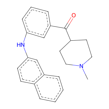 CN1CCC(C(=O)c2cccc(Nc3ccc4ccccc4c3)c2)CC1